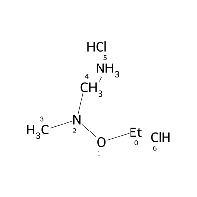 CCON(C)C.Cl.Cl.N